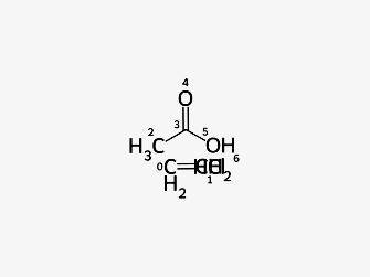 C=C.CC(=O)O.Cl